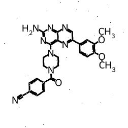 COc1ccc(-c2cnc3nc(N)nc(N4CCN(C(=O)c5ccc(C#N)cc5)CC4)c3n2)cc1OC